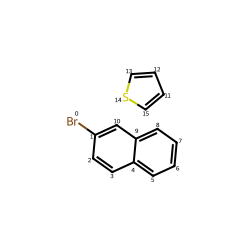 Brc1ccc2ccccc2c1.c1ccsc1